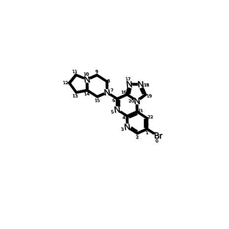 Brc1cnc2nc(N3CCN4CCCC4C3)c3nncn3c2c1